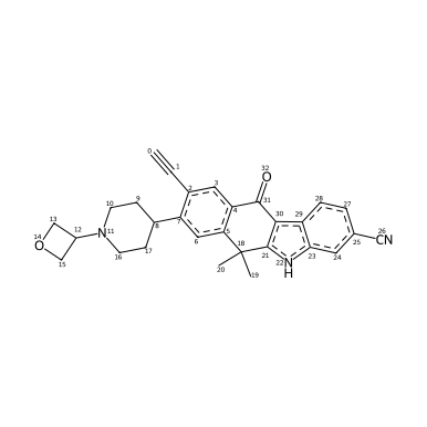 C#Cc1cc2c(cc1C1CCN(C3COC3)CC1)C(C)(C)c1[nH]c3cc(C#N)ccc3c1C2=O